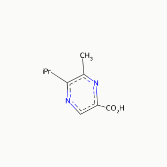 Cc1nc(C(=O)O)cnc1C(C)C